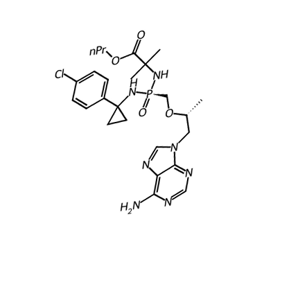 CCCOC(=O)C(C)(C)N[P@@](=O)(CO[C@H](C)Cn1cnc2c(N)ncnc21)NC1(c2ccc(Cl)cc2)CC1